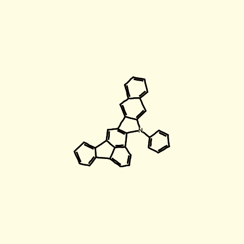 c1ccc(-n2c3cc4ccccc4cc3c3cc4c5c(cccc5c32)-c2ccccc2-4)cc1